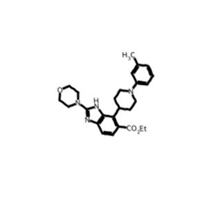 CCOC(=O)c1ccc2nc(N3CCOCC3)[nH]c2c1C1CCN(c2cccc(C)c2)CC1